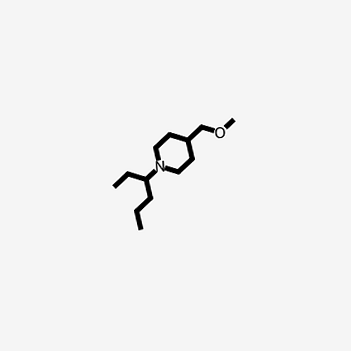 CCCC(CC)N1CCC(COC)CC1